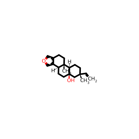 C=C[C@@]1(C)CC[C@H]2[C@@](O)(CC[C@H]3c4cocc4CC[C@@]32C)C1